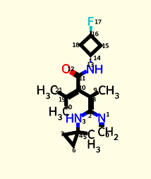 C=N/C(NC1(C)CC1)=C(\C)C(C(=O)N[C@H]1C[C@H](F)C1)=C(C)C